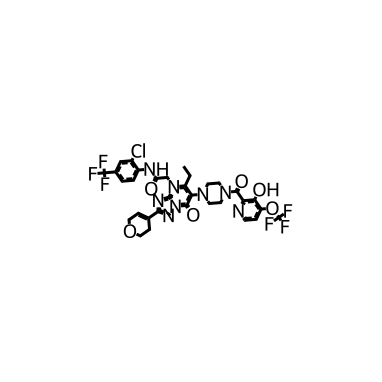 CCc1c(N2CCN(C(=O)c3nccc(OC(F)(F)F)c3O)CC2)c(=O)n2nc(C3=CCOCC3)nc2n1CC(=O)Nc1ccc(C(F)(F)F)cc1Cl